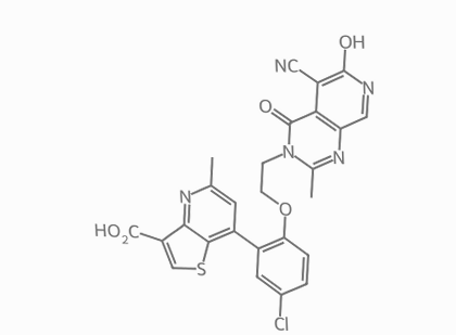 Cc1cc(-c2cc(Cl)ccc2OCCn2c(C)nc3cnc(O)c(C#N)c3c2=O)c2scc(C(=O)O)c2n1